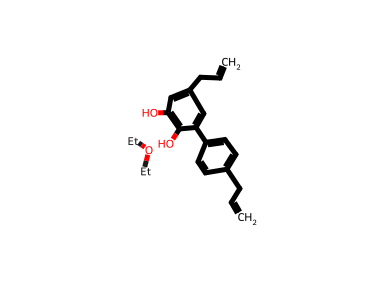 C=CCc1ccc(-c2cc(CC=C)cc(O)c2O)cc1.CCOCC